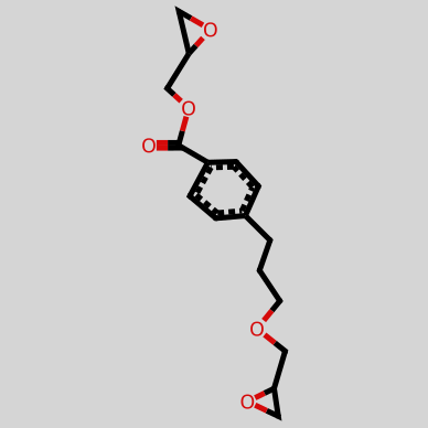 O=C(OCC1CO1)c1ccc(CCCOCC2CO2)cc1